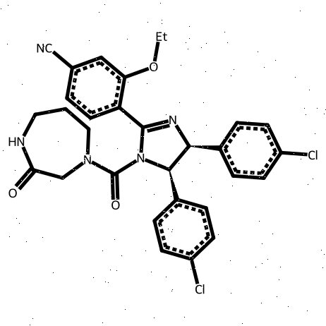 CCOc1cc(C#N)ccc1C1=N[C@@H](c2ccc(Cl)cc2)[C@@H](c2ccc(Cl)cc2)N1C(=O)N1CCCNC(=O)C1